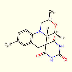 CC(C)[C@@H]1O[C@H](C)CN2c3ccc([N+](=O)[O-])cc3CC3(C(=O)NC(=O)NC3=O)[C@@H]12